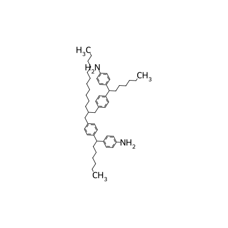 CCCCCCCCCCCC(Cc1ccc(C(CCCCCC)c2ccc(N)cc2)cc1)Cc1ccc(C(CCCCCC)c2ccc(N)cc2)cc1